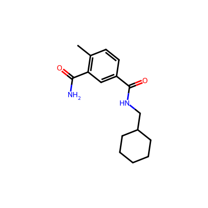 Cc1ccc(C(=O)NCC2CCCCC2)cc1C(N)=O